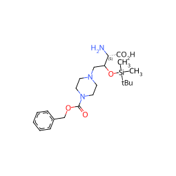 CC(C)(C)[Si](C)(C)OC(CN1CCN(C(=O)OCc2ccccc2)CC1)[C@H](N)C(=O)O